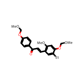 CCc1cc(C=CC(=O)c2ccc(OCOC)cc2)c(OC)cc1OCOC